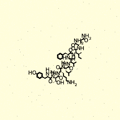 CC[C@H](C)[C@H](NC(=O)[C@H](Cc1ccccc1)NC(=O)[C@@H](NC(=O)[C@H](CC(C)C)NC(=O)[C@H](CCCCN)NC(=O)[C@@H](NC(=O)[C@@H](N)Cc1ccc(O)cc1)[C@@H](C)O)C(C)C)C(=O)N[C@@H](CCC(N)=O)C(N)=O